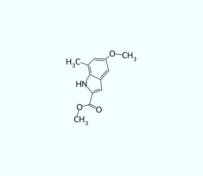 COC(=O)c1cc2cc(OC)cc(C)c2[nH]1